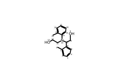 Cc1ccccc1C(CO)N(CCO)c1ccccc1C